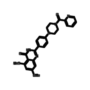 COc1cc(OC)c2c(=O)[nH]c(-c3ccc(N4CCN(C(=O)c5ccccn5)CC4)cc3)nc2c1